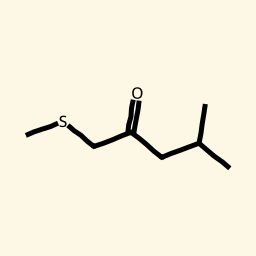 CSCC(=O)CC(C)C